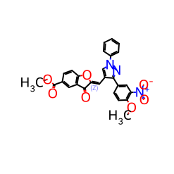 COC(=O)c1ccc2c(c1)C(=O)/C(=C/c1cn(-c3ccccc3)nc1-c1ccc(OC)c([N+](=O)[O-])c1)O2